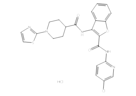 Cl.O=C(Nc1ccc(Cl)cn1)c1oc2ccccc2c1NC(=O)C1CCN(c2nccs2)CC1